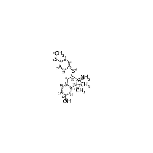 CSc1ccc(S[C@H]2Cc3ccc(O)cc3C(C)(C)[C@@H]2N)cc1